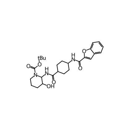 CC(C)(C)OC(=O)N1CCCC(O)C1NC(=O)C1CCC(NC(=O)c2cc3ccccc3o2)CC1